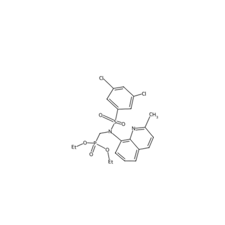 CCOP(=O)(CN(c1cccc2ccc(C)nc12)S(=O)(=O)c1cc(Cl)cc(Cl)c1)OCC